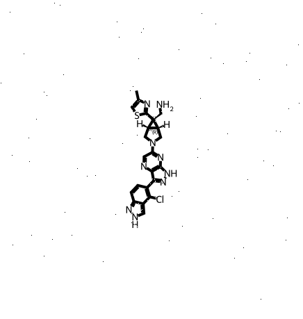 Cc1csc([C@]2(CN)[C@@H]3CN(c4cnc5c(-c6ccc7n[nH]cc7c6Cl)n[nH]c5n4)C[C@@H]32)n1